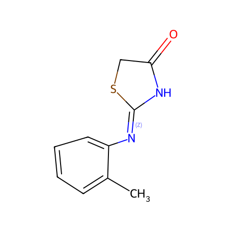 Cc1ccccc1/N=C1/NC(=O)CS1